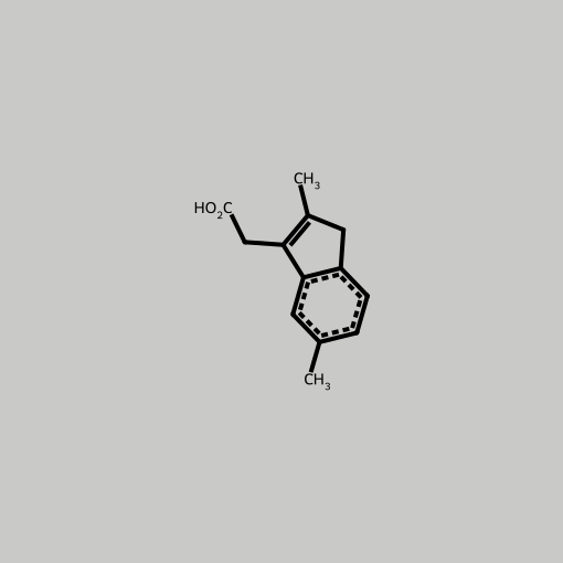 CC1=C(CC(=O)O)c2cc(C)ccc2C1